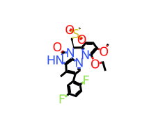 CCOc1nc([C@H](CS(C)(=O)=O)n2c(=O)[nH]c3c(C)c(-c4cc(F)ccc4F)cnc32)ccc1OC